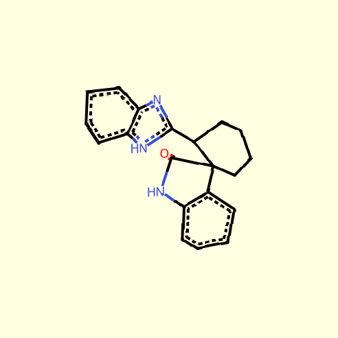 O=C1Nc2ccccc2C12CCCCC2c1nc2ccccc2[nH]1